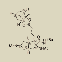 CN[C@@H]1C[C@@H]2C[C@@](NC(C)=O)(C(=O)NC(C)(C)C)[C@@H](CCCB3O[C@@H]4C[C@@H]5C[C@@H](C5(C)C)[C@]4(C)O3)[C@@H]2C1